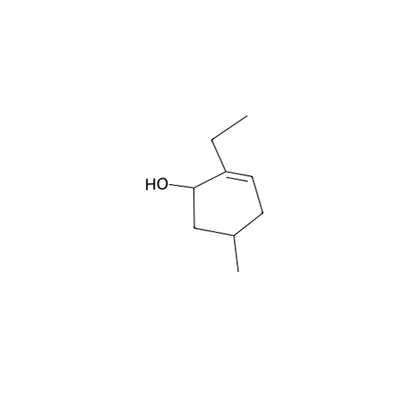 CCC1=CCC(C)CC1O